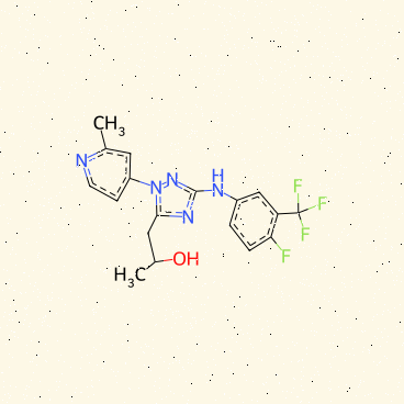 Cc1cc(-n2nc(Nc3ccc(F)c(C(F)(F)F)c3)nc2CC(C)O)ccn1